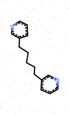 [CH](CCCCc1cccnc1)c1cccnc1